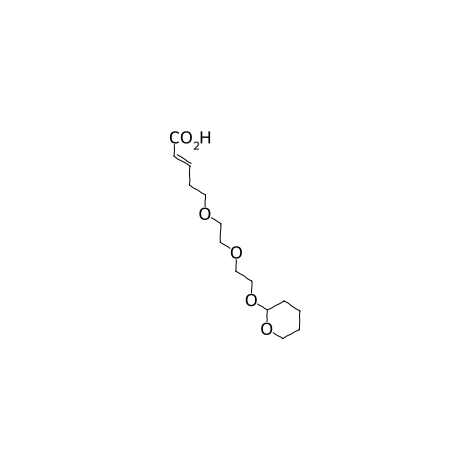 O=C(O)C=CCCOCCOCCOC1CCCCO1